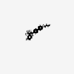 CCCCOc1ccc(-c2ccc(-c3cc(C(=O)O)c4cc(F)ccc4n3)cc2)cc1